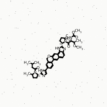 COC(=O)N[C@H](C(=O)N1[C@@H](C)CC[C@H]1c1nc2ccc3cc4c(cc3c2[nH]1)OCc1cc(-c2cnc([C@@H]3CCC(C)N3C(=O)[CH]C(C)C)[nH]2)ccc1-4)[C@@H](C)OC